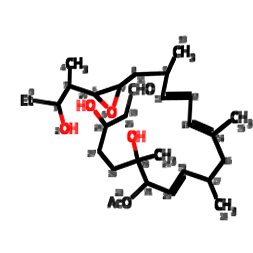 CCC(O)C(C)C1OC1CC(C)/C=C/C=C(\C)CC(C)/C=C/C(OC(C)=O)C(C)(O)CCC(O)CC=O